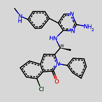 CNc1ccc(-c2cnc(N)nc2N[C@@H](C)c2cc3cccc(Cl)c3c(=O)n2-c2ccccc2)cc1